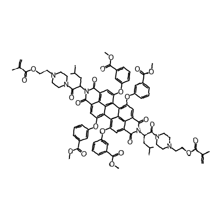 C=C(C)C(=O)OCCN1CCN(C(=O)C(CC(C)C)N2C(=O)c3cc(Oc4cccc(C(=O)OC)c4)c4c5c(Oc6cccc(C(=O)OC)c6)cc6c7c(cc(Oc8cccc(C(=O)OC)c8)c(c8c(Oc9cccc(C(=O)OC)c9)cc(c3c48)C2=O)c75)C(=O)N(C(CC(C)C)C(=O)N2CCN(CCOC(=O)C(=C)C)CC2)C6=O)CC1